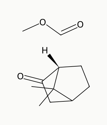 CC1(C)C2CC[C@H]1C(=O)C2.COC=O